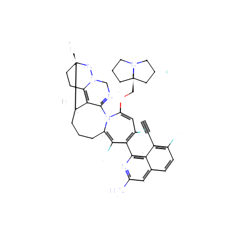 C#Cc1c(F)ccc2cc(N)nc(C3=C(F)C=C(OC[C@@]45CCCN4C[C@H](F)C5)N4C5=NCN6N[C@H]7CCC6=C5[C@H]7CCCC4=C3F)c12